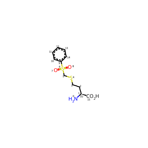 N[C@@H](CCSCS(=O)(=O)c1ccccc1)C(=O)O